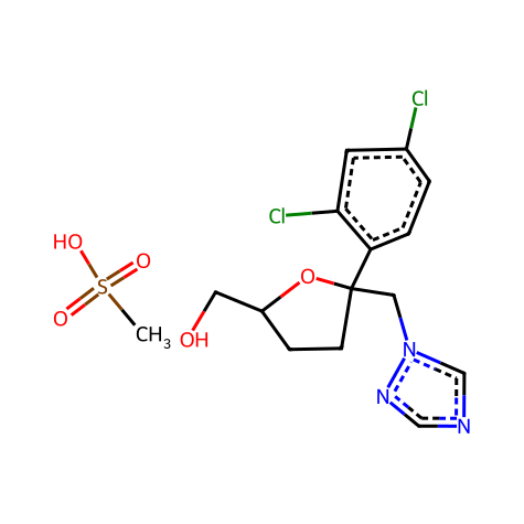 CS(=O)(=O)O.OCC1CCC(Cn2cncn2)(c2ccc(Cl)cc2Cl)O1